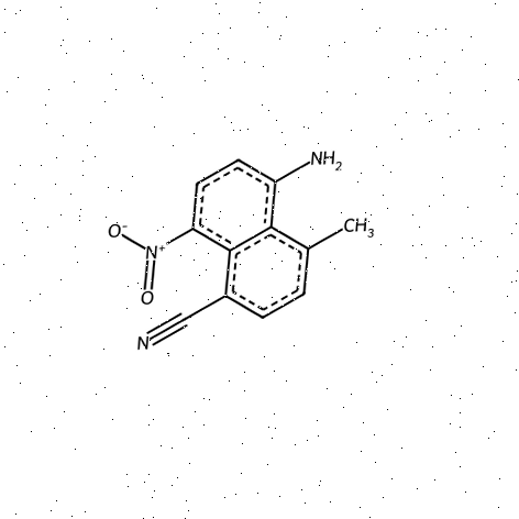 Cc1ccc(C#N)c2c([N+](=O)[O-])ccc(N)c12